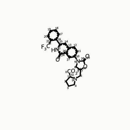 O=C(O)[C@@H]1CCCN1CC1CN(c2ccc3cc(-c4ccccc4C(F)(F)F)[nH]c(=O)c3c2)C(=O)O1